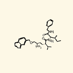 CC[C@H](C)[C@H](NC(=O)[C@@H](CC[C@@H](N)COCc1ccc2ccccc2c1)C(C)C)C(=O)NCc1ccccc1